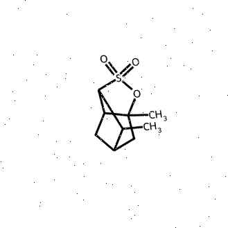 CC1C2CC3C1S(=O)(=O)OC3(C)C2